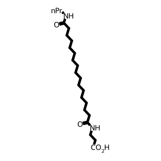 CCCNC(=O)CCCCCCCCCCCCCCCC(=O)NCCC(=O)O